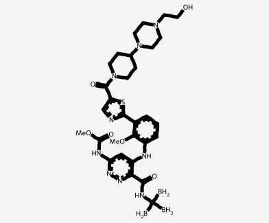 BC(B)(B)NC(=O)c1nnc(NC(=O)OC)cc1Nc1cccc(-c2ncc(C(=O)N3CCC(N4CCN(CCO)CC4)CC3)s2)c1OC